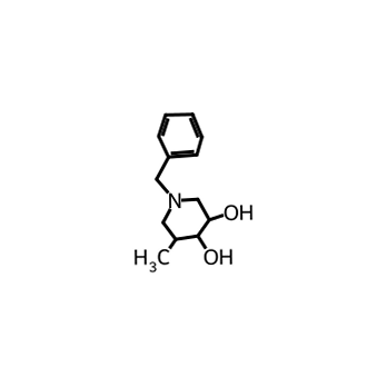 CC1CN(Cc2ccccc2)CC(O)C1O